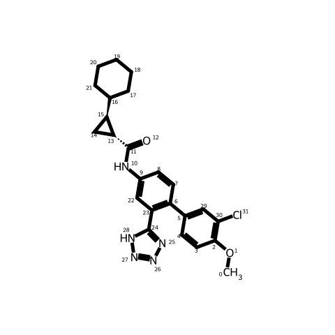 COc1ccc(-c2ccc(NC(=O)[C@@H]3C[C@H]3C3CCCCC3)cc2-c2nnn[nH]2)cc1Cl